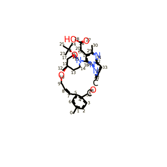 Cc1ccc2c(c1)C=CCOC1(C)CCN(CC1)c1c([C@H](OC(C)(C)C)C(=O)O)c(C)nc3cc(nn13)COC2